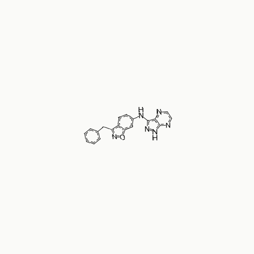 c1ccc(Cc2noc3cc(Nc4n[nH]c5nccnc45)ccc23)cc1